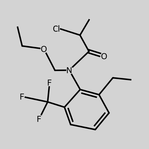 CCOCN(C(=O)C(C)Cl)c1c(CC)cccc1C(F)(F)F